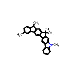 Cc1ccc2c(c1)-c1cc3c(cc1C2C)C(C)(C)c1cc2c(cc1-3)c1ccccc1n2C